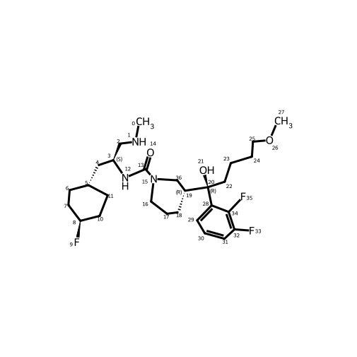 CNC[C@H](C[C@H]1CC[C@H](F)CC1)NC(=O)N1CCC[C@@H]([C@](O)(CCCCOC)c2cccc(F)c2F)C1